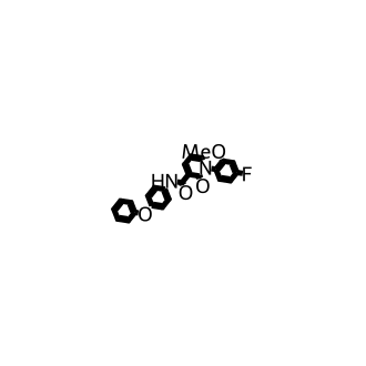 COc1cc(F)ccc1-n1cccc(C(=O)Nc2ccc(Oc3ccccc3)cc2)c1=O